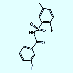 Cc1ccc(F)c(S(=O)(=O)NC(=O)c2cccc(F)c2)c1